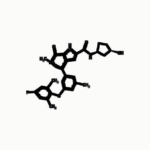 Cc1cc(Oc2c(C)cc(F)cc2C)cc(-c2cn(C)c(=O)c3[nH]c(C(=O)N[C@H]4CC[C@H](O)C4)cc23)c1